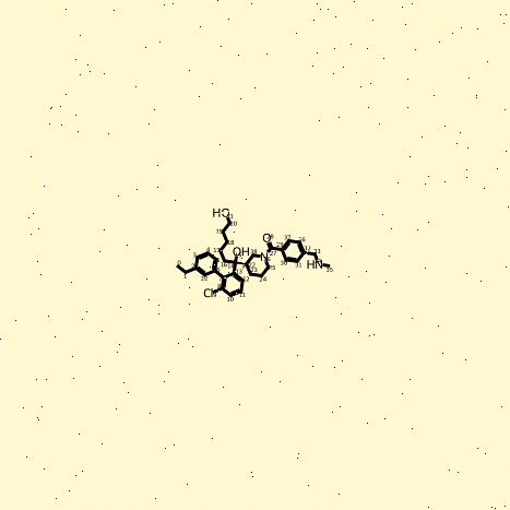 CCc1cccc(-c2c(Cl)cccc2C(O)(CCCCCO)[C@@H]2CCCN(C(=O)c3ccc(CNC)cc3)C2)c1